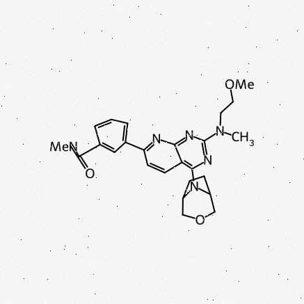 CNC(=O)c1cccc(-c2ccc3c(N4C5CCC4COC5)nc(N(C)CCOC)nc3n2)c1